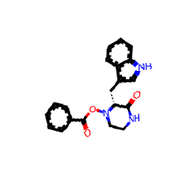 O=C(ON1CCNC(=O)[C@H]1Cc1c[nH]c2ccccc12)c1ccccc1